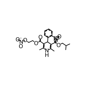 CC1=C(C(=O)OCCO[N+](=O)[O-])C(c2ccccc2[N+](=O)[O-])C(C(=O)OCC(C)C)=C(C)N1